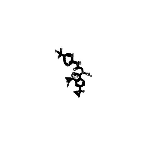 CN(CC(=O)Nc1ncc(C(F)(F)F)cn1)C(=O)c1ccc(C2(F)CC2)cc1[C@]1(C)C[C@H]1F